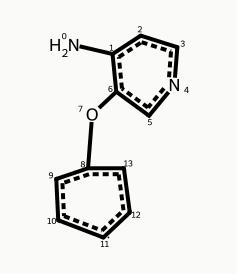 Nc1ccncc1Oc1cc[c]cc1